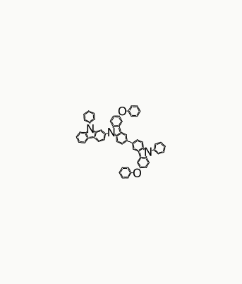 c1ccc(Oc2ccc3c(c2)c2cc(-c4ccc5c(c4)c4cc(Oc6ccccc6)ccc4n5-c4ccc5c6ccccc6n(-c6ccccc6)c5c4)ccc2n3-c2ccccc2)cc1